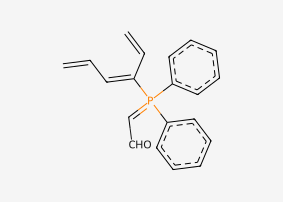 C=C/C=C(\C=C)P(=CC=O)(c1ccccc1)c1ccccc1